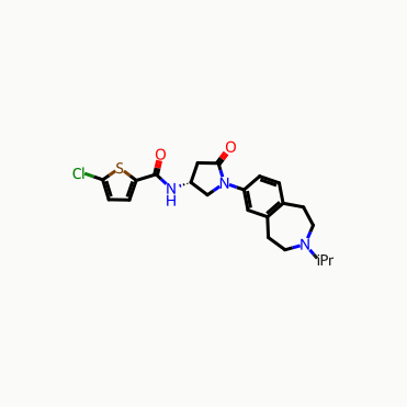 CC(C)N1CCc2ccc(N3C[C@H](NC(=O)c4ccc(Cl)s4)CC3=O)cc2CC1